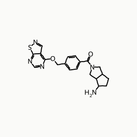 NC1CCC2CN(C(=O)c3ccc(COc4ncnc5sncc45)cc3)CC12